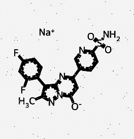 Cc1nn2c([O-])cc(-c3ccc(S(N)(=O)=O)nc3)nc2c1-c1ccc(F)cc1F.[Na+]